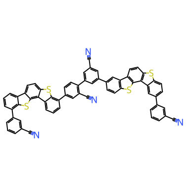 N#Cc1cccc(-c2ccc3sc4ccc5c6cc(-c7cc(C#N)cc(-c8ccc(-c9cccc%10c9sc9ccc%11c%12cccc(-c%13cccc(C#N)c%13)c%12sc%11c9%10)cc8C#N)c7)ccc6sc5c4c3c2)c1